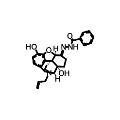 C=CCN1CC[C@]23c4c5ccc(O)c4O[C@H]2C(=NNC(=O)c2ccccc2)CC[C@@]3(O)[C@H]1C5